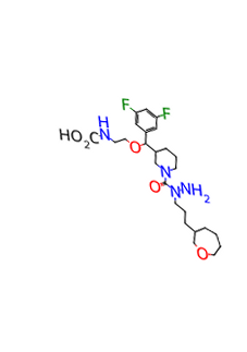 NN(CCCC1CCCCOC1)C(=O)N1CCCC(C(OCCNC(=O)O)c2cc(F)cc(F)c2)C1